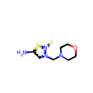 Nc1cn(CN2CCOCC2)[n+](=S)s1